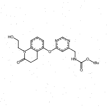 CC(C)(C)OC(=O)NCc1cc(Oc2cccc3c2CCC(=O)N3CCO)ncn1